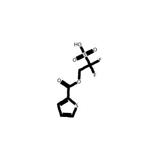 O=C(OCC(F)(F)S(=O)(=O)O)c1cccs1